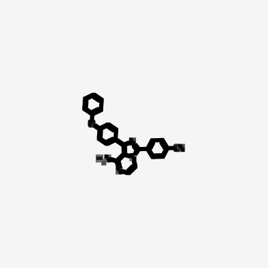 N#Cc1ccc(-c2nc(-c3ccc(Oc4ccccc4)cc3)c3c(N)nccn23)cc1